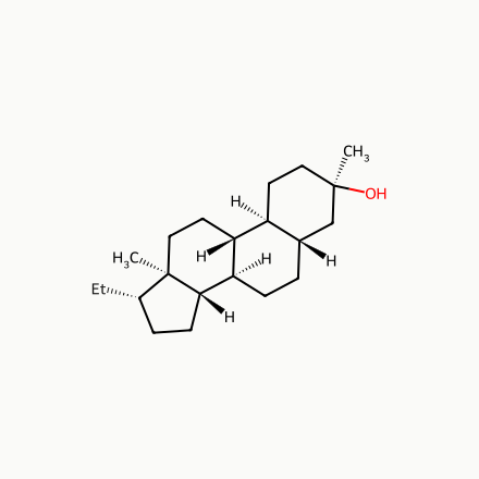 CC[C@H]1CC[C@H]2[C@@H]3CC[C@H]4C[C@](C)(O)CC[C@@H]4[C@H]3CC[C@]12C